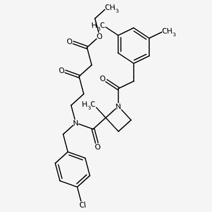 CCOC(=O)CC(=O)CCN(Cc1ccc(Cl)cc1)C(=O)C1(C)CCN1C(=O)Cc1cc(C)cc(C)c1